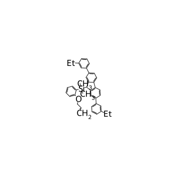 C=CCOc1ccccc1[Si](C)(C)C1c2cc(-c3cccc(CC)c3)ccc2-c2ccc(-c3cccc(CC)c3)cc21